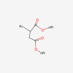 CCCOC(=O)CC(C(C)=O)C(=O)OCCC